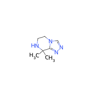 CC1(C)NCCn2cnnc21